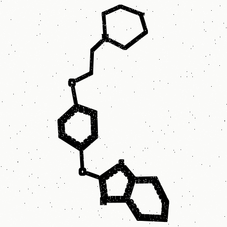 [CH]1CCN(CCOc2ccc(Oc3nc4ccccc4s3)cc2)CC1